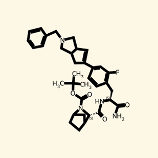 CC(C)(C)OC(=O)N1C2CCC(C2)[C@H]1C(=O)N[C@@H](Cc1ccc(C2=CC3CN(Cc4ccccc4)CC3C2)cc1F)C(N)=O